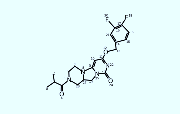 C[C](C)C(=O)N1CCN2c3cc(OCc4ccc(F)c(F)c4)nc(=O)n3CC2C1